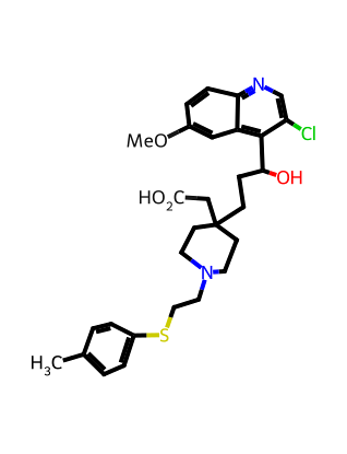 COc1ccc2ncc(Cl)c(C(O)CCC3(CC(=O)O)CCN(CCSc4ccc(C)cc4)CC3)c2c1